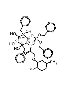 CC1CCC(C(C)C)C(OCC(=O)O[C@H]2[C@@H](OP(=O)(OCc3ccccc3)OCc3ccccc3)[C@](O)(Cc3ccccc3)[C@H](O)[C@@H](O)[C@@]2(O)Cc2ccccc2)C1